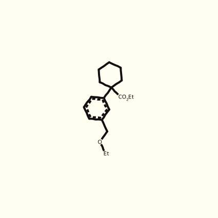 CCOCc1cccc(C2(C(=O)OCC)CCCCC2)c1